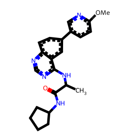 COc1ccc(-c2ccc3ncnc(NC(C)C(=O)NC4CCCC4)c3c2)cn1